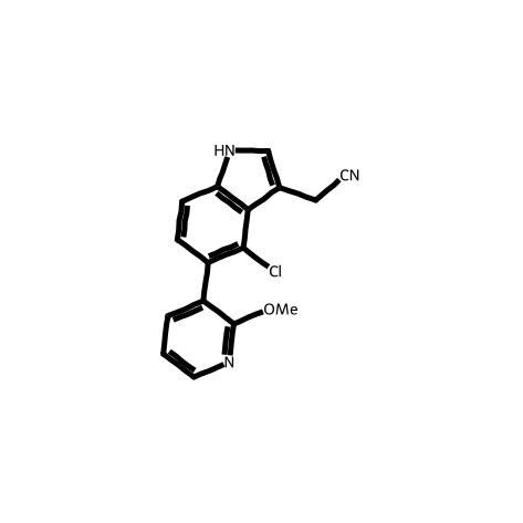 COc1ncccc1-c1ccc2[nH]cc(CC#N)c2c1Cl